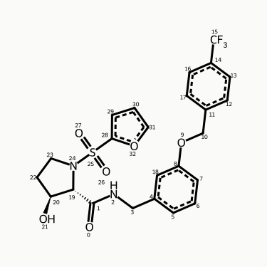 O=C(NCc1cccc(OCc2ccc(C(F)(F)F)cc2)c1)[C@@H]1[C@@H](O)CCN1S(=O)(=O)c1ccco1